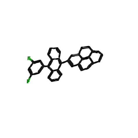 Fc1cc(F)cc(-c2c3ccccc3c(-c3cc4ccc5cccc6ccc(c3)c4c56)c3ccccc23)c1